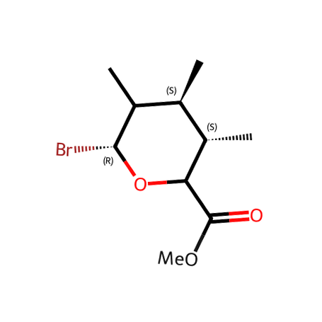 COC(=O)C1O[C@H](Br)C(C)[C@@H](C)[C@@H]1C